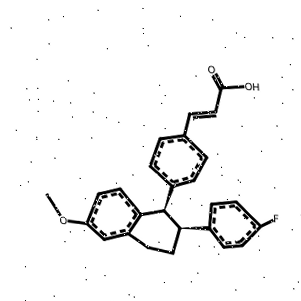 COc1ccc2c(c1)CC[C@H](c1ccc(F)cc1)[C@@H]2c1ccc(C=CC(=O)O)cc1